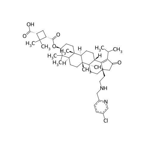 CC(C)C1=C2[C@H]3CC[C@@H]4[C@@]5(C)CC[C@H](OC(=O)[C@H]6C[C@@H](C(=O)O)C6(C)C)C(C)(C)[C@@H]5CC[C@@]4(C)[C@]3(C)CC[C@@]2(CCNCc2ccc(Cl)cn2)CC1=O